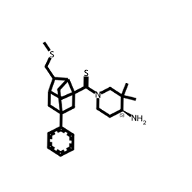 CSCC1C2CC3(c4ccccc4)CC1C(C(=S)N1CC[C@H](N)C(C)(C)C1)(C2)C3